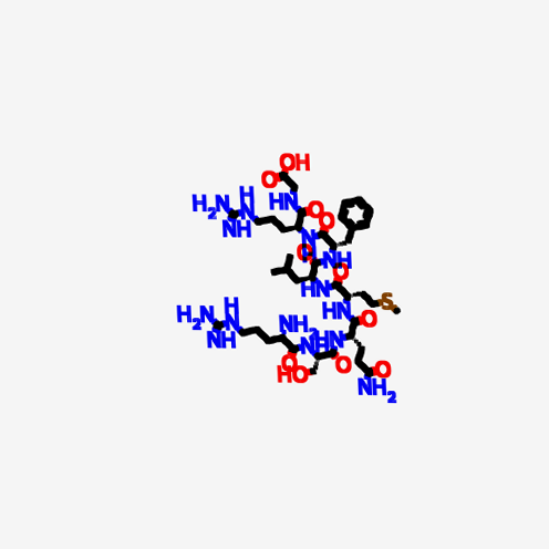 CSCC[C@H](NC(=O)[C@H](CCC(N)=O)NC(=O)[C@H](CO)NC(=O)[C@@H](N)CCCNC(=N)N)C(=O)N[C@@H](CC(C)C)C(=O)N[C@@H](Cc1ccccc1)C(=O)N[C@@H](CCCNC(=N)N)C(=O)NCC(=O)O